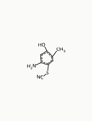 Cc1cc(SC#N)c(N)cc1O